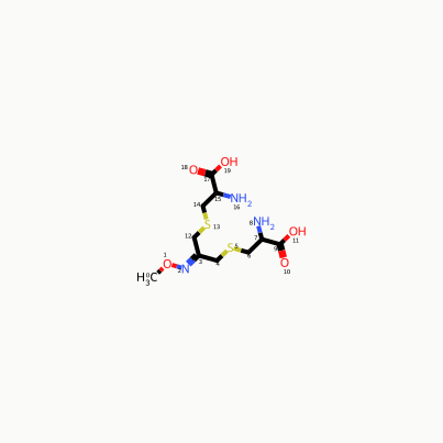 CON=C(CSCC(N)C(=O)O)CSCC(N)C(=O)O